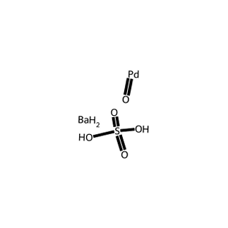 O=S(=O)(O)O.[BaH2].[O]=[Pd]